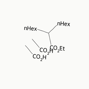 CC(=O)O.CC(=O)O.CCCCCCC(CCCCCC)C(=O)OCC